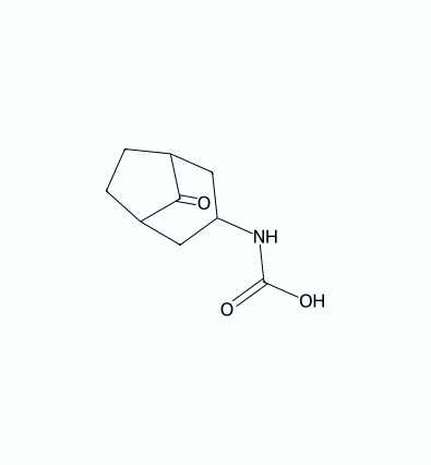 O=C(O)NC1CC2CCC(C1)C2=O